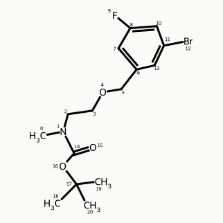 CN(CCOCc1cc(F)cc(Br)c1)C(=O)OC(C)(C)C